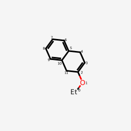 CCOC1=C[CH]c2ccccc2C1